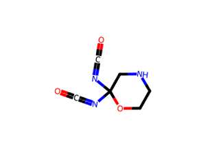 O=C=NC1(N=C=O)CNCCO1